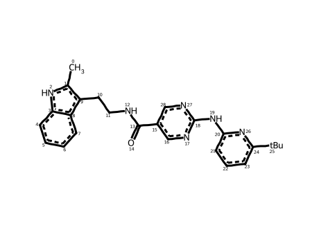 Cc1[nH]c2ccccc2c1CCNC(=O)c1cnc(Nc2cccc(C(C)(C)C)n2)nc1